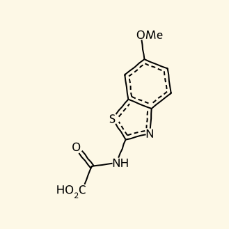 COc1ccc2nc(NC(=O)C(=O)O)sc2c1